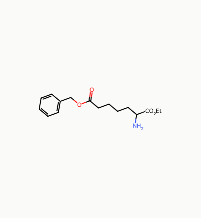 CCOC(=O)C(N)CCCCC(=O)OCc1ccccc1